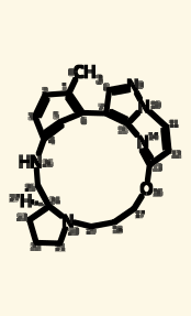 Cc1ccc2cc1-c1cnn3ccc(nc13)OCCCN1CCC[C@H]1CN2